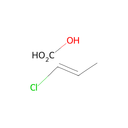 CC=CCl.O=C(O)O